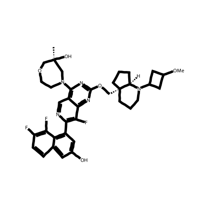 COC1CC(N2CCC[C@@]3(COc4nc(N5CCOC[C@@](C)(O)C5)c5cnc(-c6cc(O)cc7ccc(F)c(F)c67)c(F)c5n4)CCC[C@@H]23)C1